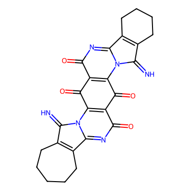 N=c1c2c(c3nc(=O)c4c(=O)c5c(c(=O)nc6c7c(c(=N)n65)CCCC7)c(=O)c4n13)CCCCC2